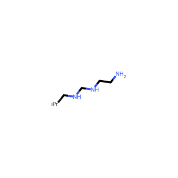 CC(C)CNCNCCN